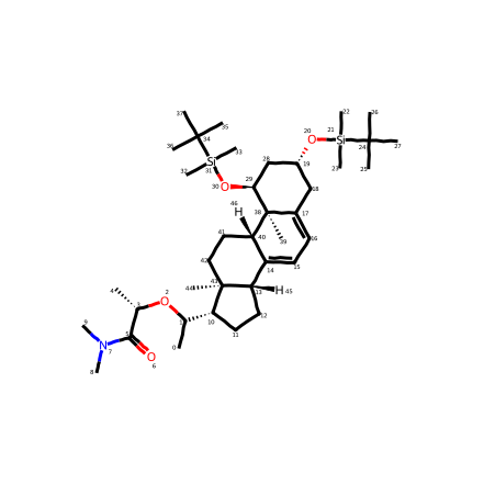 CC(O[C@@H](C)C(=O)N(C)C)[C@H]1CC[C@H]2C3=CC=C4C[C@@H](O[Si](C)(C)C(C)(C)C)C[C@H](O[Si](C)(C)C(C)(C)C)[C@]4(C)[C@H]3CC[C@]12C